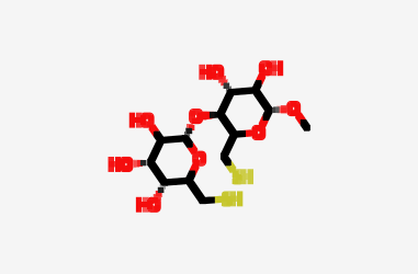 CO[C@@H]1OC(CS)[C@@H](O[C@@H]2OC(CS)[C@H](O)[C@H](O)C2O)[C@H](O)C1O